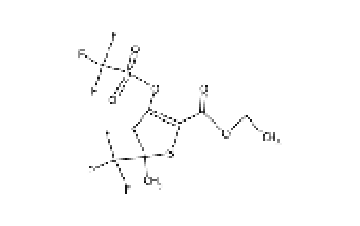 CCOC(=O)C1=C(OS(=O)(=O)C(F)(F)F)CC(C)(C(F)(F)F)S1